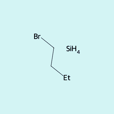 CCCCBr.[SiH4]